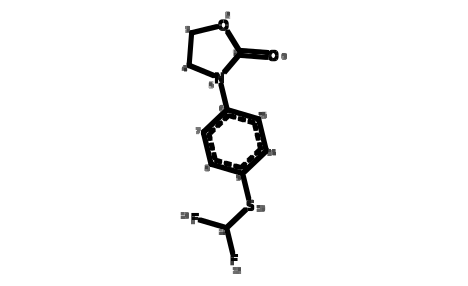 O=C1OCCN1c1ccc(SC(F)F)cc1